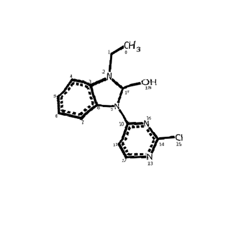 CCN1c2ccccc2N(c2ccnc(Cl)n2)C1O